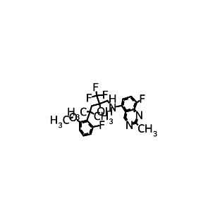 COc1cccc(F)c1C(C)(C)CC(O)(CNc1ccc(F)c2nc(C)ncc12)C(F)(F)F